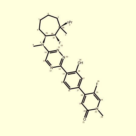 CCC[C@]1(C)CCCC[C@H](N(C)c2cnc(-c3ccc(-c4cc(=O)n(C)cc4F)cc3O)nn2)[C@@H]1F